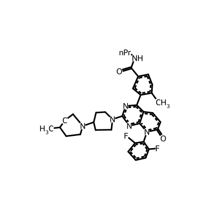 CCCNC(=O)c1ccc(C)c(-c2nc(N3CCC(N4CCC(C)CC4)CC3)nc3c2ccc(=O)n3-c2c(F)cccc2F)c1